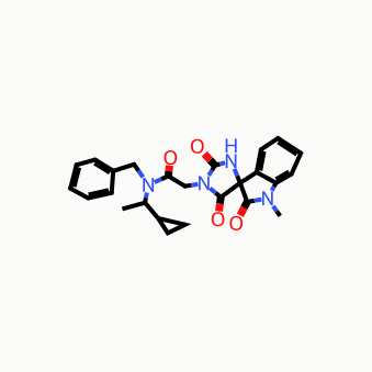 CC(C1CC1)N(Cc1ccccc1)C(=O)CN1C(=O)NC2(C1=O)C(=O)N(C)c1ccccc12